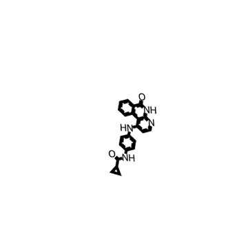 O=C(Nc1ccc(Nc2ccnc3[nH]c(=O)c4ccccc4c23)cc1)C1CC1